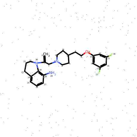 C=C(CN1CCC(CCOc2cc(F)cc(F)c2)CC1)N1CCCc2cccc(N)c21